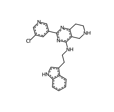 Clc1cncc(-c2nc3c(c(NCCc4c[nH]c5ccccc45)n2)CNCC3)c1